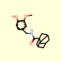 COc1cc(CNC(=O)C23CC4CC(CC(C4)C2)C3)ccc1O